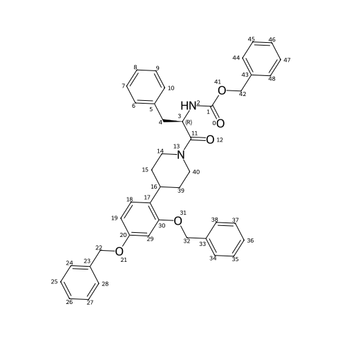 O=C(N[C@H](Cc1ccccc1)C(=O)N1CCC(c2ccc(OCc3ccccc3)cc2OCc2ccccc2)CC1)OCc1ccccc1